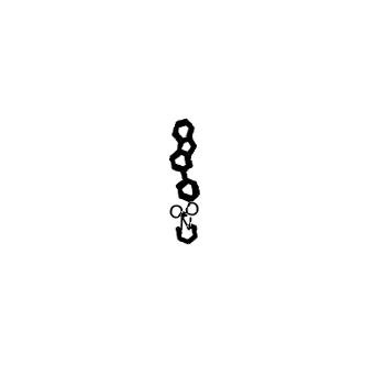 O=C(Oc1ccc(-c2ccc3c(c2)Cc2ccccc2-3)cc1)N1CCCCC1